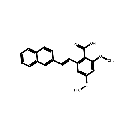 COc1cc(/C=C/c2ccc3ccccc3c2)c(C(=O)O)c(OC)c1